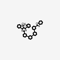 C[Si]1(C)c2ccccc2-c2nc(-c3cccc(-c4cccc(-c5cccc(-c6cccc(-c7nc8ccccc8o7)c6)c5)c4)c3)nc(-c3ccccc3)c21